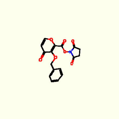 O=C(ON1C(=O)CCC1=O)c1occc(=O)c1OCc1ccccc1